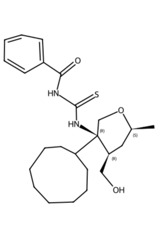 C[C@H]1C[C@@H](CO)[C@](NC(=S)NC(=O)c2ccccc2)(C2CCCCCCCC2)CO1